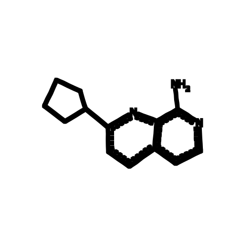 Nc1nccc2ccc(C3CCCC3)nc12